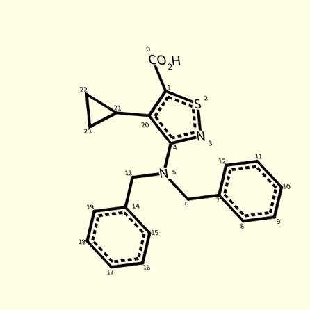 O=C(O)c1snc(N(Cc2ccccc2)Cc2ccccc2)c1C1CC1